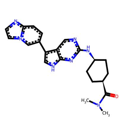 CN(C)C(=O)[C@H]1CC[C@@H](Nc2ncc3c(-c4ccc5nccn5c4)c[nH]c3n2)CC1